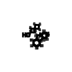 O[C@@H]1CC2(CCC2)[C@@H]1C1c2ccccc2-c2cncn21